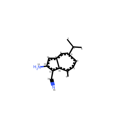 Cc1ccc(C(C)C)cc2cc(N)c(C#N)c1-2